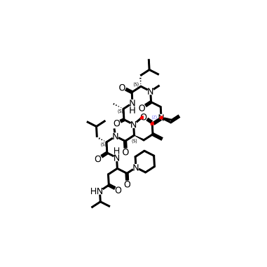 C=C/C=C\C(=C)C[C@@H](C(=O)N(C)[C@@H](CC(C)C)C(=O)NC(CC(=O)NC(C)C)C(=O)N1CCCCC1)N(C)C(=O)[C@H](C)NC(=O)[C@H](CC(C)C)N(C)C(=O)CN(C)C=O